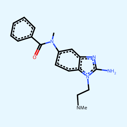 CNCCn1c(N)nc2cc(N(C)C(=O)c3ccccc3)ccc21